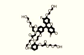 O=C(COc1ccccc1OCCOc1cc(-c2c3cc(F)c(=O)cc-3oc3cc(OCOCO)c(F)cc23)ccc1N(CC(=O)OCOCO)CC(=O)OCOCO)OCOCO